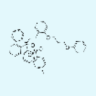 Cc1ccc(S(=O)(=O)OP(CCc2ccccc2OCCCOc2ccccc2)(c2ccccc2)(c2ccccc2)c2ccccc2)cc1